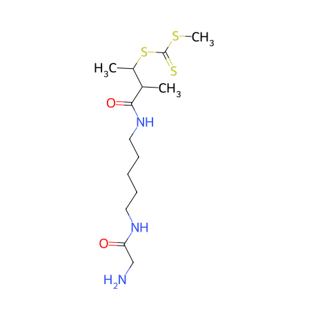 CSC(=S)SC(C)C(C)C(=O)NCCCCCNC(=O)CN